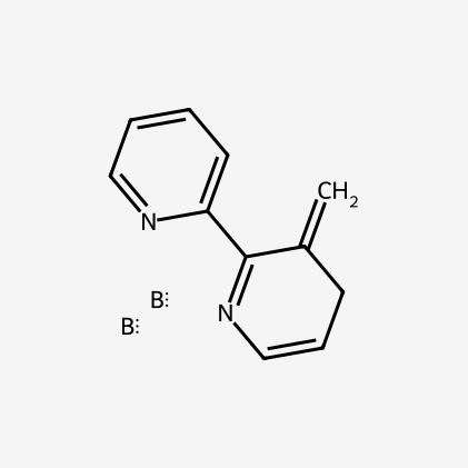 C=C1CC=CN=C1c1ccccn1.[B].[B]